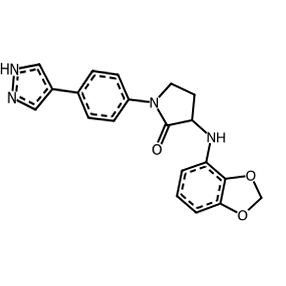 O=C1C(Nc2cccc3c2OCO3)CCN1c1ccc(-c2cn[nH]c2)cc1